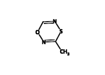 CC1=NOC=NS1